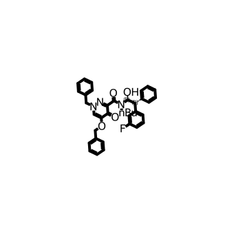 CCCCN(C(=O)c1nn(Cc2ccccc2)cc(OCc2ccccc2)c1=O)[C@H](O)[C@H](c1ccccc1)c1cccc(F)c1